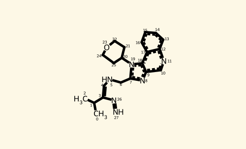 CC(C)/C(=C/NCc1nc2cnc3ccccc3c2n1C1CCOCC1)N=N